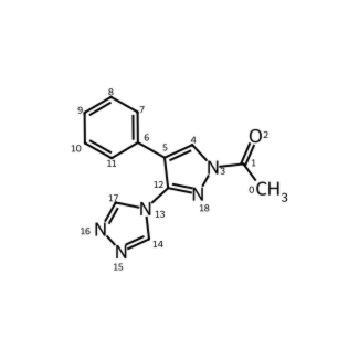 CC(=O)n1cc(-c2ccccc2)c(-n2cnnc2)n1